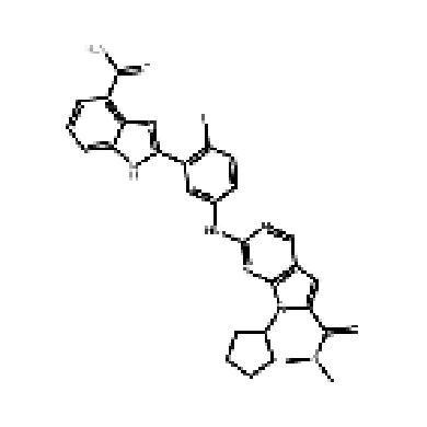 CN(C)C(=O)c1cc2cnc(Nc3ccc(F)c(-c4nc5c(C(N)=O)cccc5[nH]4)c3)nc2n1C1CCCC1